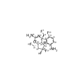 NC1=N[C@](CF)(c2cc(N)ccc2F)[C@H]2CC(F)(F)C[C@@]2(CF)O1